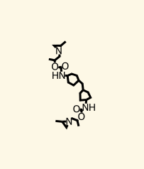 CC(CN1CC1C)OC(=O)NC1CCC(CC2CCC(NC(=O)OC(C)CN3CC3C)CC2)CC1